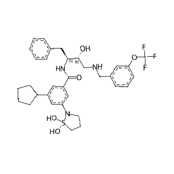 O=C(N[C@@H](Cc1ccccc1)[C@H](O)CNCc1cccc(OC(F)(F)F)c1)c1cc(C2CCCC2)cc(N2CCCS2(O)O)c1